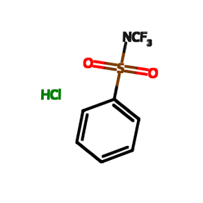 Cl.O=S(=O)(NC(F)(F)F)c1ccccc1